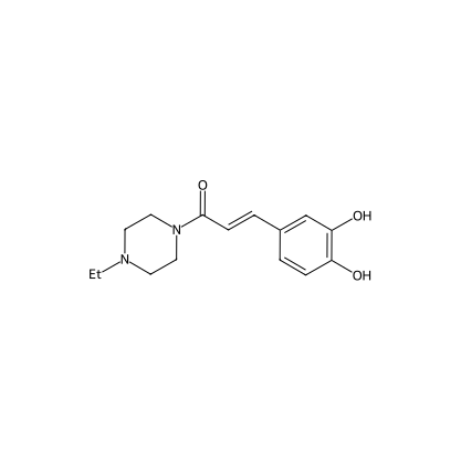 CCN1CCN(C(=O)C=Cc2ccc(O)c(O)c2)CC1